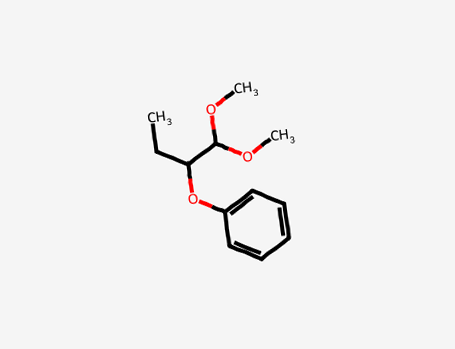 CC[C](Oc1ccccc1)C(OC)OC